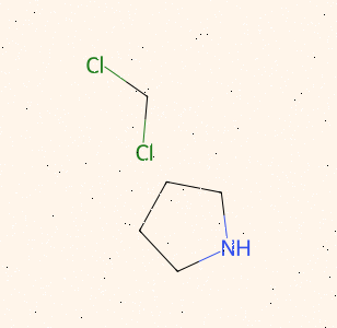 C1CCNC1.ClCCl